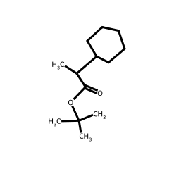 CC(C(=O)OC(C)(C)C)C1CCCCC1